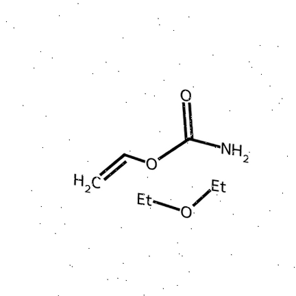 C=COC(N)=O.CCOCC